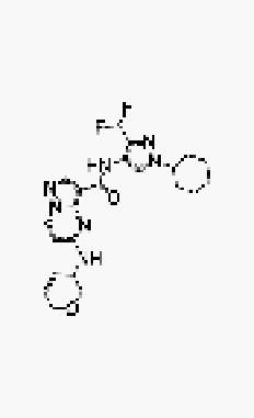 O=C(Nc1cn(C2CCCCC2)nc1C(F)F)c1cnn2ccc(NC3C=CCOC3)nc12